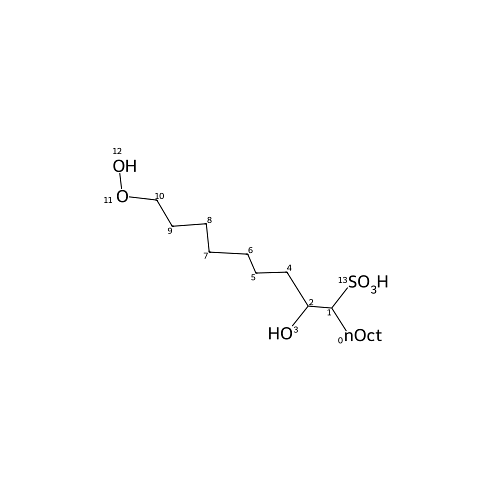 CCCCCCCCC(C(O)CCCCCCCOO)S(=O)(=O)O